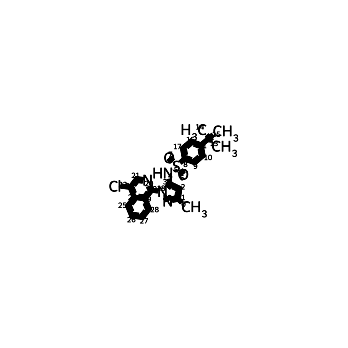 Cc1cc(NS(=O)(=O)c2ccc(C(C)(C)C)cc2)n(-c2ncc(Cl)c3ccccc23)n1